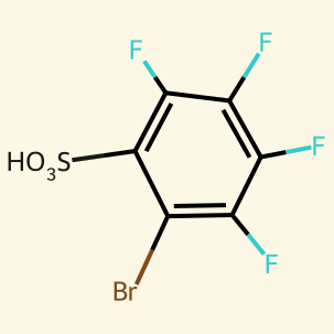 O=S(=O)(O)c1c(F)c(F)c(F)c(F)c1Br